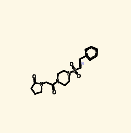 O=C(CN1CCCC1=O)N1CCN(S(=O)(=O)/C=C/c2ccccc2)CC1